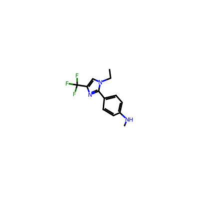 CCn1cc(C(F)(F)F)nc1-c1ccc(NC)cc1